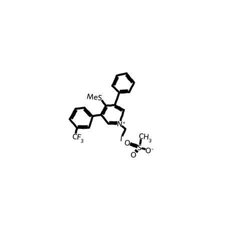 CS(=O)(=O)[O-].CSc1c(-c2ccccc2)c[n+](CI)cc1-c1cccc(C(F)(F)F)c1